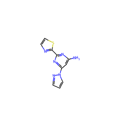 Nc1cc(-n2cccn2)nc(-c2nccs2)n1